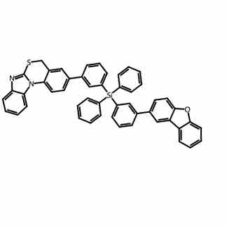 c1ccc([Si](c2ccccc2)(c2cccc(-c3ccc4c(c3)CSc3nc5ccccc5n3-4)c2)c2cccc(-c3ccc4oc5ccccc5c4c3)c2)cc1